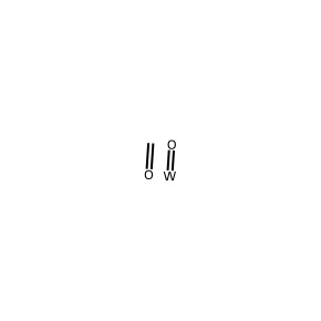 C=O.[O]=[W]